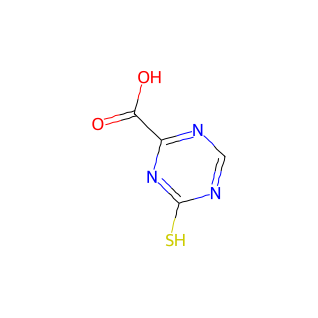 O=C(O)c1ncnc(S)n1